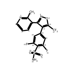 Cc1ncccc1-c1noc(C(F)(F)F)c1-c1cc(F)c(S(N)(=O)=O)c(F)c1